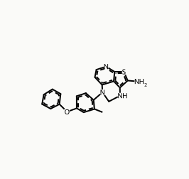 Cc1cc(Oc2ccccc2)ccc1N1CNc2c(N)sc3nccc1c23